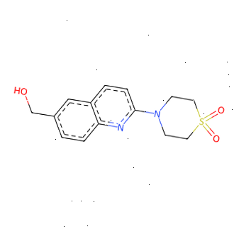 O=S1(=O)CCN(c2ccc3cc(CO)ccc3n2)CC1